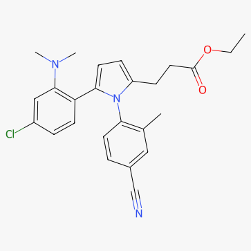 CCOC(=O)CCc1ccc(-c2ccc(Cl)cc2N(C)C)n1-c1ccc(C#N)cc1C